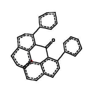 O=C(c1c(-c2ccccc2)ccc2ccccc12)c1c(-c2ccccc2)ccc2ccccc12